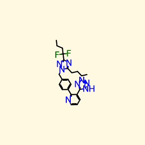 CCCCc1nc(C(F)(F)CCC)nn1Cc1ccc(-c2ncccc2-c2nnn[nH]2)cc1